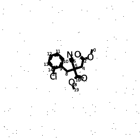 COC(=O)CC(C#N)(Cc1ccccc1Cl)C(=O)OC